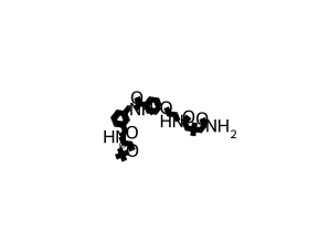 CC(C)(C)C[C@@H](C=O)NC(=O)c1cccc(CNC(=O)c2ccc(OCCNC(=O)CC(C)(C)CC(N)=O)cc2)c1